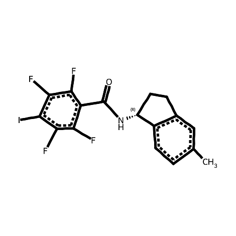 Cc1ccc2c(c1)CC[C@H]2NC(=O)c1c(F)c(F)c(I)c(F)c1F